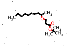 CCCCCCCCC(C)OCCC(=O)OC(C)(C)C